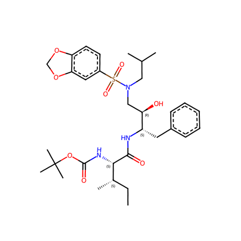 CC[C@H](C)[C@H](NC(=O)OC(C)(C)C)C(=O)N[C@@H](Cc1ccccc1)[C@H](O)CN(CC(C)C)S(=O)(=O)c1ccc2c(c1)OCO2